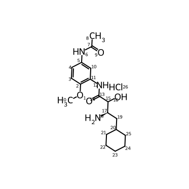 COc1ccc(NC(C)=O)cc1NC(=O)C(O)[C@H](N)CC1CCCCC1.Cl